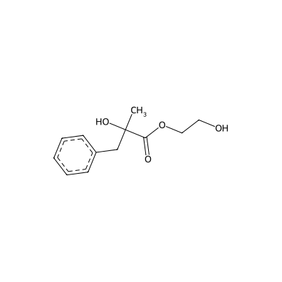 CC(O)(Cc1ccccc1)C(=O)OCCO